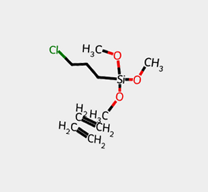 C=C.C=C.CO[Si](CCCCl)(OC)OC